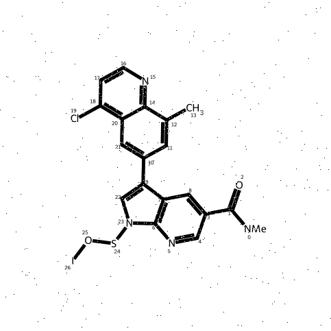 CNC(=O)c1cnc2c(c1)c(-c1cc(C)c3nccc(Cl)c3c1)cn2SOI